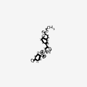 CCOC(=O)C1CCc2cc(C(=O)CNS(=O)(=O)c3ccc(Cl)cc3)ccc2O1